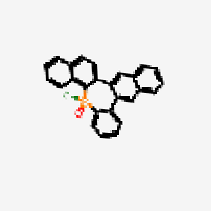 O=P1(Cl)c2ccccc2-c2cc3ccccc3cc2-c2ccc3ccccc3c21